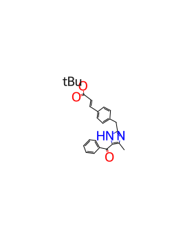 Cc1nc(Cc2ccc(/C=C/C(=O)OC(C)(C)C)cc2)[nH]c1C(=O)c1ccccc1